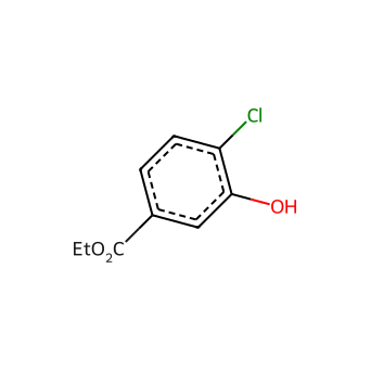 CCOC(=O)c1ccc(Cl)c(O)c1